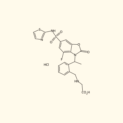 CC(c1ccccc1CNCC(=O)O)n1c(=O)oc2cc(S(=O)(=O)Nc3nccs3)cc(F)c21.Cl